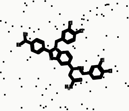 [CH2]CN(C[CH2])c1ccc(-c2nc3cc(C(CC(N)=O)NCc4ccc(Cl)c(Cl)c4)ccc3n2Cc2ccc(Cl)c(Cl)c2)cc1